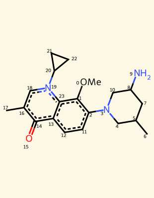 COc1c(N2CC(C)CC(N)C2)ccc2c(=O)c(C)cn(C3CC3)c12